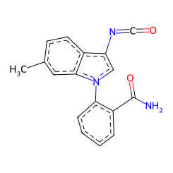 Cc1ccc2c(N=C=O)cn(-c3ccccc3C(N)=O)c2c1